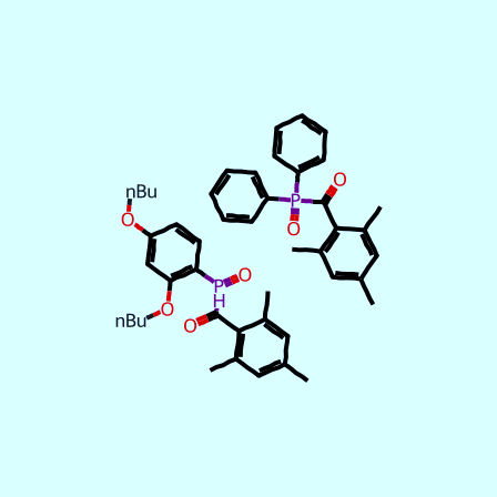 CCCCOc1ccc([PH](=O)C(=O)c2c(C)cc(C)cc2C)c(OCCCC)c1.Cc1cc(C)c(C(=O)P(=O)(c2ccccc2)c2ccccc2)c(C)c1